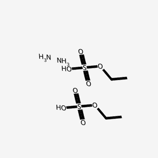 CCOS(=O)(=O)O.CCOS(=O)(=O)O.N.N